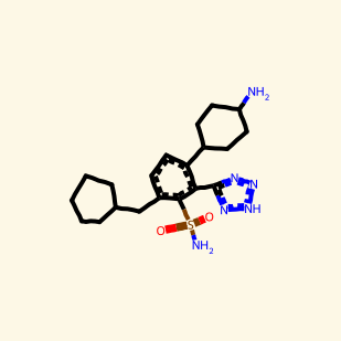 NC1CCC(c2ccc(CC3CCCCC3)c(S(N)(=O)=O)c2-c2nn[nH]n2)CC1